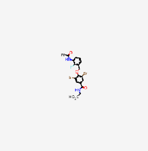 CC(C)C(=O)Nc1cccc(COc2c(Br)cc(C(=O)NCC(=O)O)cc2Br)c1F